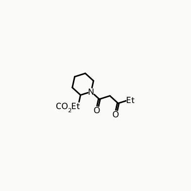 CCOC(=O)C1CCCCN1C(=O)CC(=O)CC